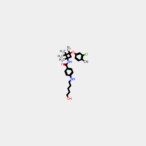 CC1(NC(=O)c2ccc(NCCCCCO)cc2)CC(C)(Oc2ccc(C#N)c(Cl)c2)C1(C)C